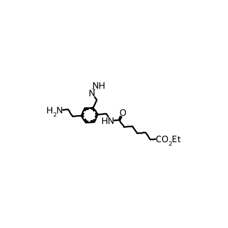 CCOC(=O)CCCCCC(=O)NCc1ccc(CCN)cc1CN=N